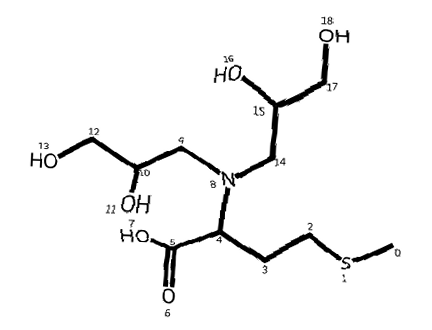 CSCCC(C(=O)O)N(CC(O)CO)CC(O)CO